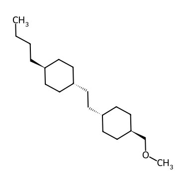 CCCC[C@H]1CC[C@H](CC[C@H]2CC[C@H](COC)CC2)CC1